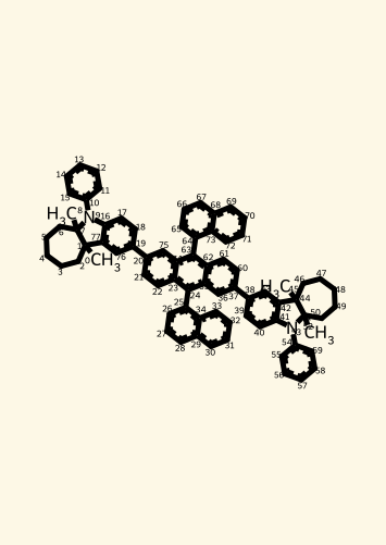 CC12CCCCCC1(C)N(c1ccccc1)c1ccc(-c3ccc4c(-c5cccc6ccccc56)c5cc(-c6ccc7c(c6)C6(C)CCCCCC6(C)N7c6ccccc6)ccc5c(-c5cccc6ccccc56)c4c3)cc12